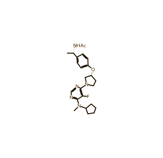 CC(=O)N[C@@H](C)c1ccc(O[C@@H]2CCN(c3ncnc(N(C)C4CCCC4)c3F)C2)cc1